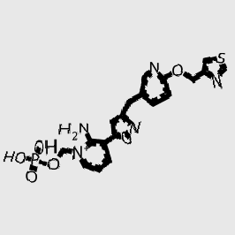 Nc1c(-c2cc(Cc3ccc(OCc4cscn4)nc3)no2)ccc[n+]1COP(=O)(O)O